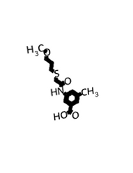 COCCCSCC(=O)Nc1cc(C)cc(C(=O)O)c1